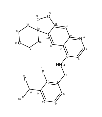 Fc1c(CNc2ccnc3cc4c(cc23)C2(CCOCC2)OO4)cccc1C(F)F